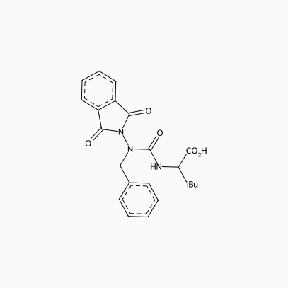 CCC(C)C(NC(=O)N(Cc1ccccc1)N1C(=O)c2ccccc2C1=O)C(=O)O